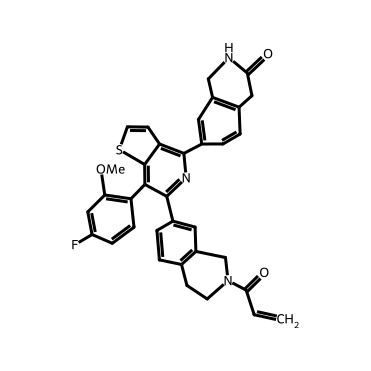 C=CC(=O)N1CCc2ccc(-c3nc(-c4ccc5c(c4)CNC(=O)C5)c4ccsc4c3-c3ccc(F)cc3OC)cc2C1